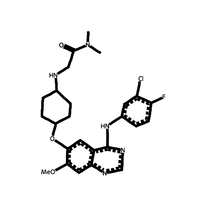 COc1cc2ncnc(Nc3ccc(F)c(Cl)c3)c2cc1OC1CCC(NCC(=O)N(C)C)CC1